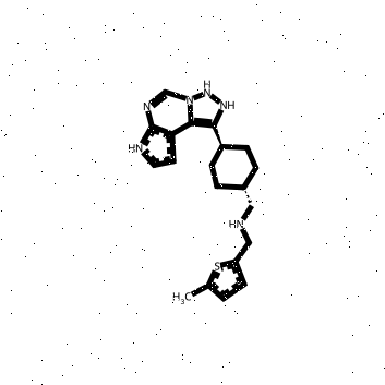 Cc1ccc(CNC[C@H]2CC[C@H](C3=C4c5cc[nH]c5N=CN4NN3)CC2)s1